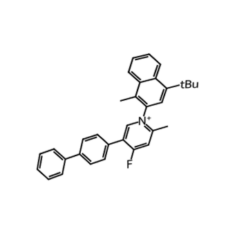 Cc1c(-[n+]2cc(-c3ccc(-c4ccccc4)cc3)c(F)cc2C)cc(C(C)(C)C)c2ccccc12